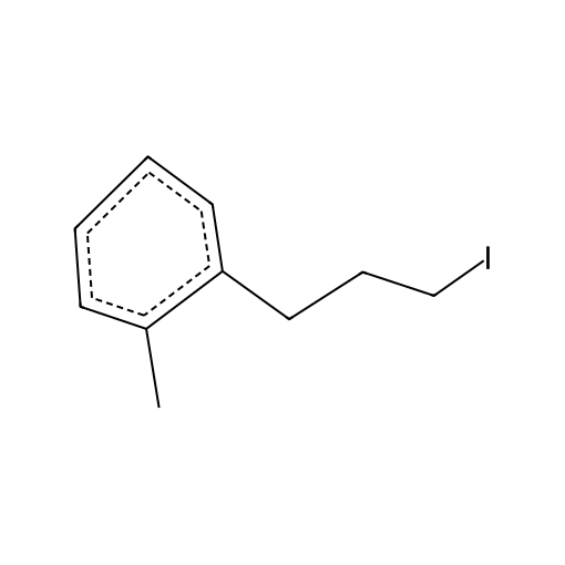 Cc1ccccc1CCCI